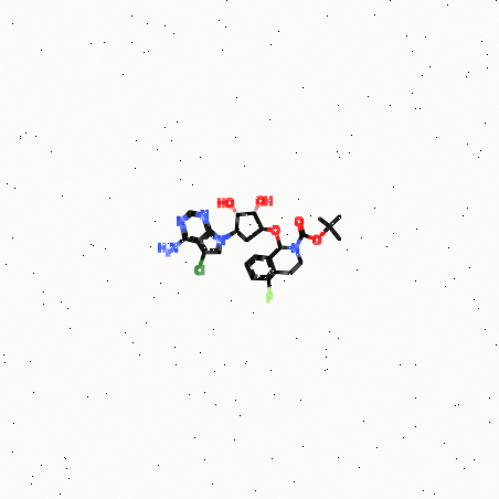 CC(C)(C)OC(=O)N1CCc2c(F)cccc2C1O[C@H]1C[C@@H](n2cc(Cl)c3c(N)ncnc32)[C@H](O)[C@@H]1O